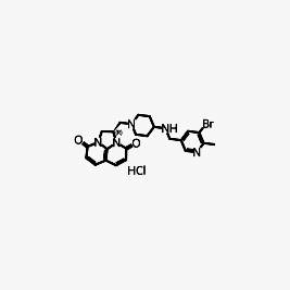 Cc1ncc(CNC2CCN(C[C@@H]3Cn4c(=O)ccc5ccc(=O)n3c54)CC2)cc1Br.Cl